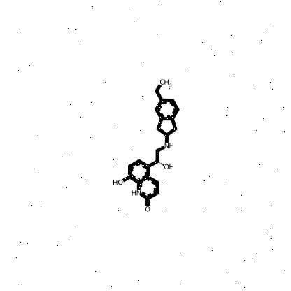 CCc1ccc2c(c1)CC(NC[C@H](O)c1ccc(O)c3[nH]c(=O)ccc13)C2